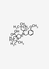 COc1cccc(CN(C(=O)CC(C)(C)C)[C@H]2CN(C(C)(C)C)[C@](C)(C(=O)O)C2)c1